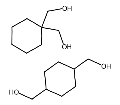 OCC1(CO)CCCCC1.OCC1CCC(CO)CC1